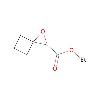 CCOC(=O)C1OC12CCC2